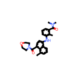 Cc1c(Nc2ccc(C(=O)N3CCOCC3)c3c(C)cccc23)cccc1C(=O)N(C)C